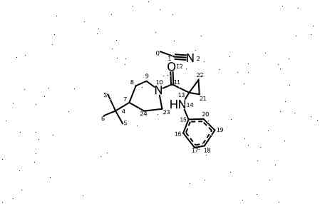 CC#N.CC(C)(C)C1CCN(C(=O)C2(Nc3ccccc3)CC2)CC1